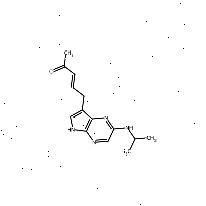 CC(=O)C=CCc1c[nH]c2ncc(NC(C)C)nc12